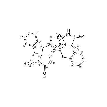 CC(C)[C@@H]1NC(=O)N([C@@H](Cc2ccccc2)C[C@@H]2OC(=O)N(C(=O)O)[C@@]2(Cc2ccccc2)Cc2cncs2)C1=O